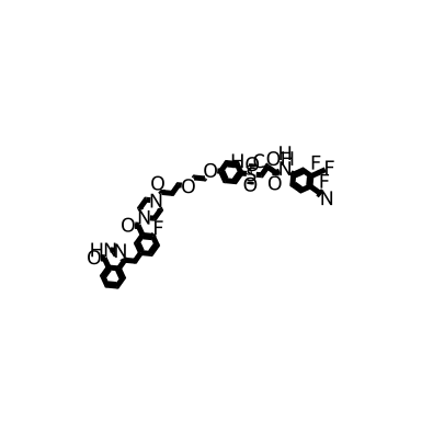 CC(O)(CS(=O)(=O)c1ccc(OCCOCCC(=O)N2CCN(C(=O)c3cc(Cc4n[nH]c(=O)c5ccccc45)ccc3F)CC2)cc1)C(=O)Nc1ccc(C#N)c(C(F)(F)F)c1